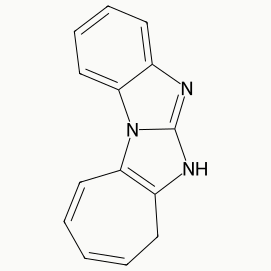 C1=CCc2[nH]c3nc4ccccc4n3c2C=C1